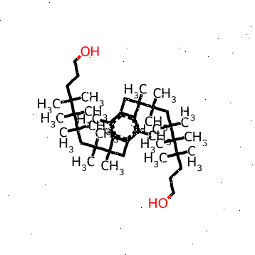 Cc1c2c(c(C)c3c1C(C)(C(C)(C)CC(C)(C)C(C)(C)C(C)(C)CCCO)C3)C(C)(C(C)(C)CC(C)(C)C(C)(C)C(C)(C)CCCO)C2